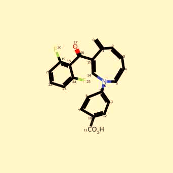 C=C1/C=C\C=C/N(c2ccc(C(=O)O)cc2)/C=C\1C(=O)c1c(F)cccc1F